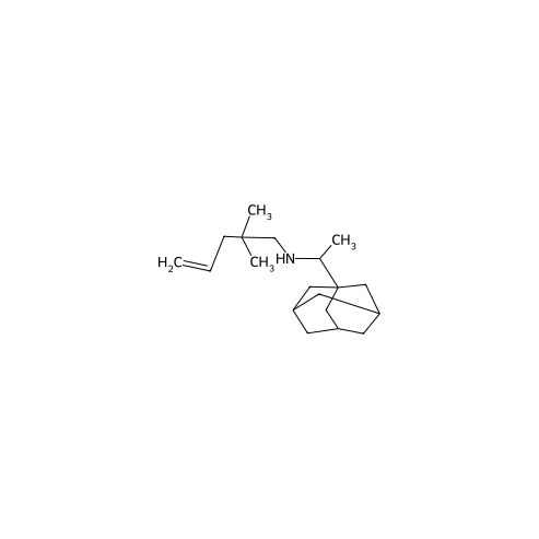 C=CCC(C)(C)CNC(C)C12CC3CC(CC(C3)C1)C2